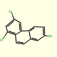 Clc1[c]c2ccc3c(Cl)[c]c(Cl)cc3c2cc1